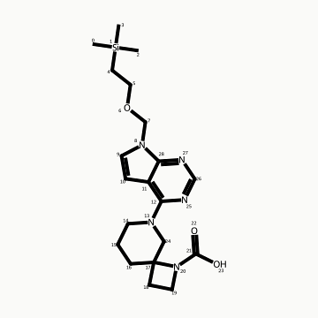 C[Si](C)(C)CCOCn1ccc2c(N3CCCC4(CCN4C(=O)O)C3)ncnc21